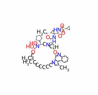 C=C[C@@H]1C[C@]1(NC(=O)[C@@H]1C[C@@H]2CN1C[C@H](C1CCCC1)N(O)C(O)OCC(C)(C)CCCCCCn1cc(C)c3c4ccccc4nc(c31)O2)C(=O)NS(=O)(=O)C1CC1